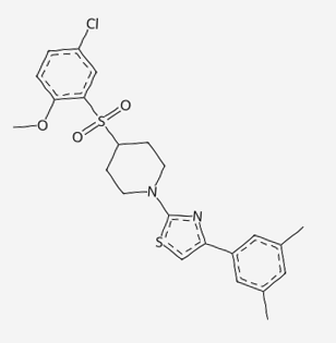 COc1ccc(Cl)cc1S(=O)(=O)C1CCN(c2nc(-c3cc(C)cc(C)c3)cs2)CC1